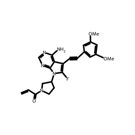 C=CC(=O)N1CCC(n2c(F)c(C#Cc3cc(OC)cc(OC)c3)c3c(N)ncnc32)C1